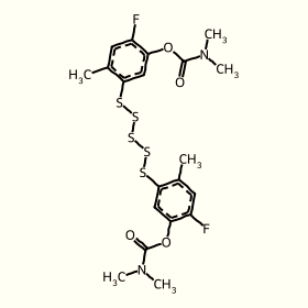 Cc1cc(F)c(OC(=O)N(C)C)cc1SSSSSc1cc(OC(=O)N(C)C)c(F)cc1C